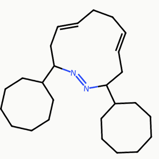 C1=C/CC(C2CCCCCCC2)/N=N/C(C2CCCCCCC2)C/C=C/CC/1